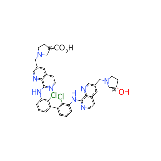 O=C(O)[C@@H]1CCN(Cc2cnc3c(Nc4cccc(-c5cccc(Nc6nccc7cc(CN8CC[C@H](O)C8)cnc67)c5Cl)c4Cl)nccc3c2)C1